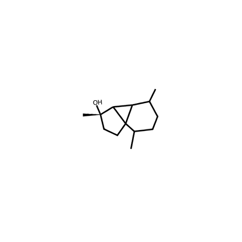 CC1CCC(C)C23CC[C@](C)(O)C2C13